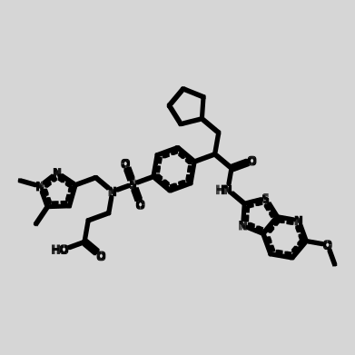 COc1ccc2nc(NC(=O)C(CC3CCCC3)c3ccc(S(=O)(=O)N(CCC(=O)O)Cc4cc(C)n(C)n4)cc3)sc2n1